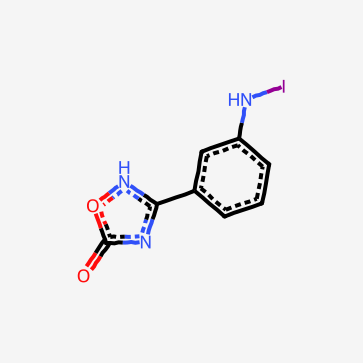 O=c1nc(-c2cccc(NI)c2)[nH]o1